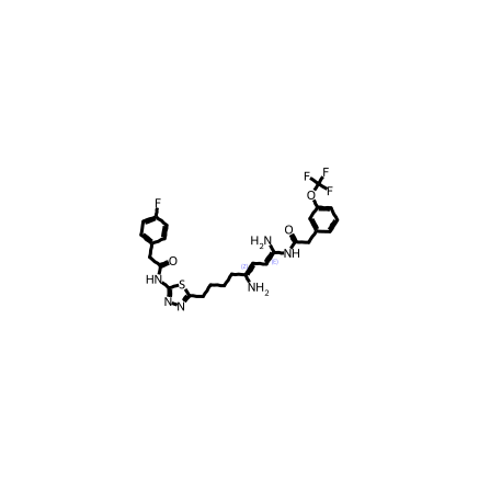 N/C(=C\C=C(/N)NC(=O)Cc1cccc(OC(F)(F)F)c1)CCCCc1nnc(NC(=O)Cc2ccc(F)cc2)s1